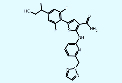 CC(CO)c1cc(F)c(-c2cc(C(N)=O)c(Nc3cccc(Cn4nccn4)n3)s2)c(F)c1